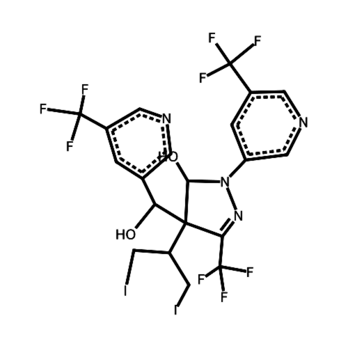 OC(c1cncc(C(F)(F)F)c1)C1(C(CI)CI)C(C(F)(F)F)=NN(c2cncc(C(F)(F)F)c2)C1O